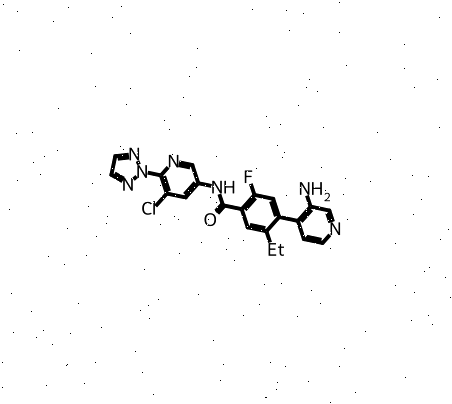 CCc1cc(C(=O)Nc2cnc(-n3nccn3)c(Cl)c2)c(F)cc1-c1ccncc1N